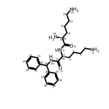 NCCCC[C@H](NC(=O)[C@@H](N)CCCCN)C(=O)NC(c1ccccc1)c1ccccc1